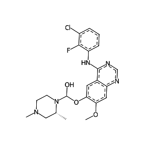 COc1cc2ncnc(Nc3cccc(Cl)c3F)c2cc1OC(O)N1CCN(C)C[C@H]1C